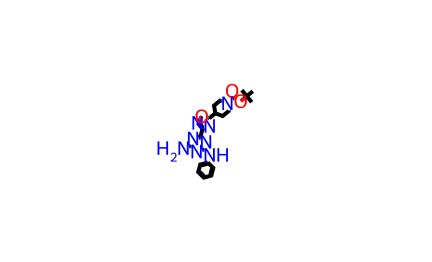 CC(C)(C)OC(=O)N1CCC(c2nc(-c3nc(N)nc(Nc4ccccc4)n3)no2)CC1